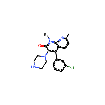 CCn1c(=O)c(N2CCNCC2)c(-c2cccc(Cl)c2)c2ccc(C)nc21